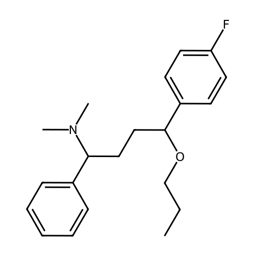 CCCOC(CCC(c1ccccc1)N(C)C)c1ccc(F)cc1